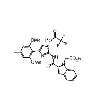 COc1cc(C)cc(OC)c1-c1csc(NC(=O)c2cc3ccccc3n2CC(=O)O)n1.O=C(O)C(F)(F)F